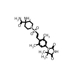 Cc1cc(N2C(=O)NC(=O)C2(C)C)cc(C)c1C=CS(=O)(=O)N1CCC(N)(C(N)=O)CC1